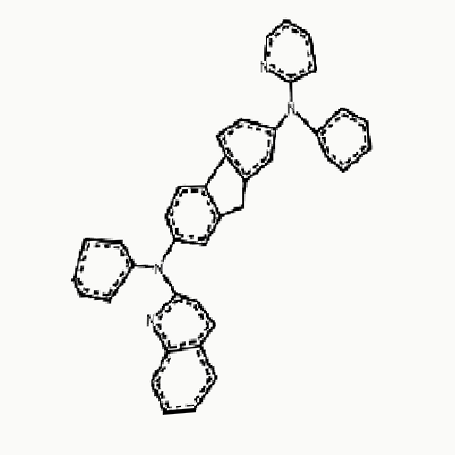 c1ccc(N(c2ccc3c(c2)Cc2cc(N(c4ccccc4)c4ccc5ccccc5n4)ccc2-3)c2ccccn2)cc1